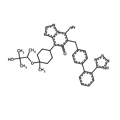 CCCc1c(Cc2ccc(-c3ccccc3-c3nnn[nH]3)cc2)c(=O)n(C2CCC(C)(OC(C)C(C)(C)O)CC2)c2ncnn12